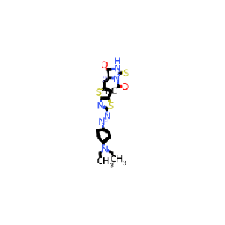 CCN(CC)c1ccc(/N=N/c2nc3sc(/C=C4/C(=O)NC(=S)N4C(C)=O)cc3s2)cc1